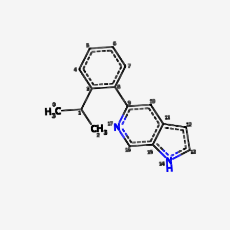 CC(C)c1ccccc1-c1cc2cc[nH]c2cn1